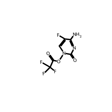 Nc1nc(=O)n(OC(=O)C(F)(F)F)cc1F